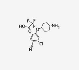 N#Cc1ccc(OC2CCC(N)CC2)cc1Cl.O=C(O)C(F)(F)F